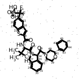 CC(C)(C)C(NC(=O)c1cc2cc(C(F)(F)P(=O)(O)O)ccc2s1)C(=O)N1Cc2ccccc2C1C(=O)N1CCO[C@@H](c2ccccc2)C1